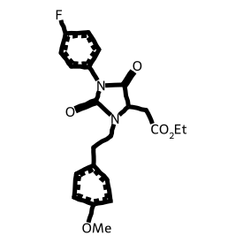 CCOC(=O)CC1C(=O)N(c2ccc(F)cc2)C(=O)N1CCc1ccc(OC)cc1